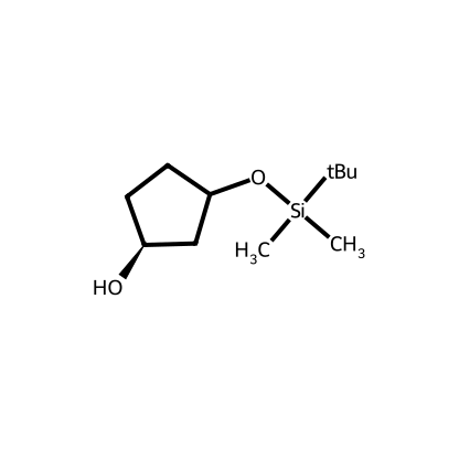 CC(C)(C)[Si](C)(C)OC1CC[C@H](O)C1